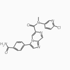 CN(C(=O)c1cn2c(-c3ccc(C(N)=O)cc3)cnc2cn1)c1ccc(Cl)nc1